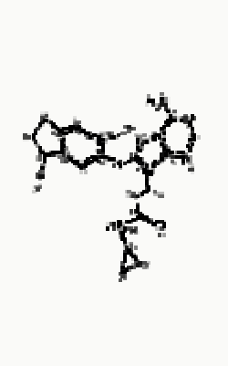 Nc1ncnc2c1nc(Sc1cc3c(cc1I)CCC3F)n2CCC(=O)NC1CC1